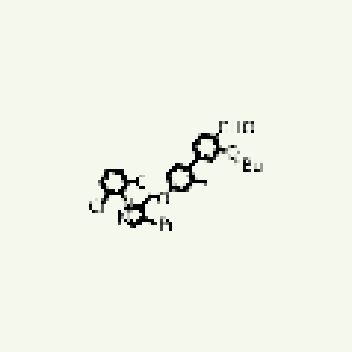 CCCCOc1cc(-c2ccc(OCc3c(C(C)C)cnn3-c3c(Cl)cccc3Cl)cc2C)ccc1C=O